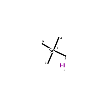 C[Se](C)(C)C.I